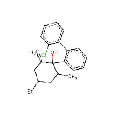 C=C1CC(CC)CC(C)C1(O)c1ccccc1-c1ccccc1Cl